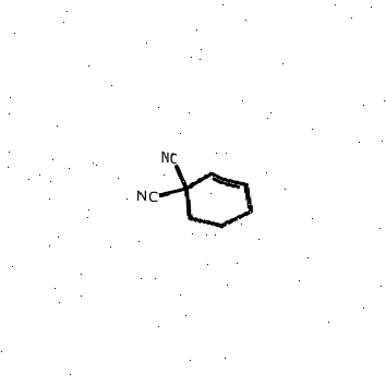 N#CC1(C#N)C=CCCC1